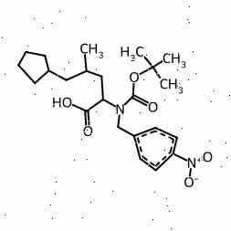 CC(CC1CCCC1)CC(C(=O)O)N(Cc1ccc([N+](=O)[O-])cc1)C(=O)OC(C)(C)C